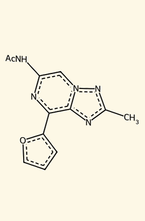 CC(=O)Nc1cn2nc(C)nc2c(-c2ccco2)n1